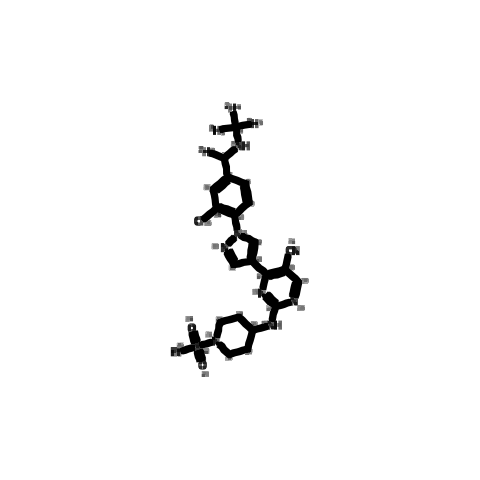 [2H]C(NC([2H])([2H])[2H])c1ccc(-n2cc(-c3nc(NC4CCN(S(=O)(=O)CC)CC4)ncc3C#N)cn2)c(Cl)c1